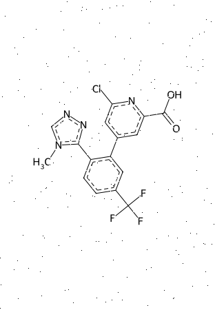 Cn1cnnc1-c1ccc(C(F)(F)F)cc1-c1cc(Cl)nc(C(=O)O)c1